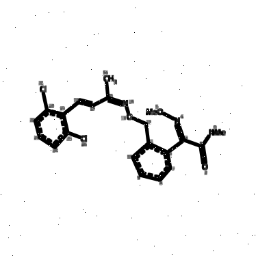 CNC(=O)/C(=N/OC)c1ccccc1CON=C(C)/C=C/c1c(Cl)cccc1Cl